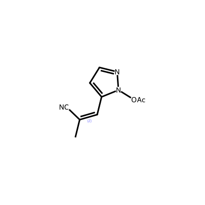 CC(=O)On1nccc1/C=C(/C)C#N